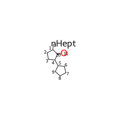 CCCCCCCC1CCC(C2CCCC2)C1=O